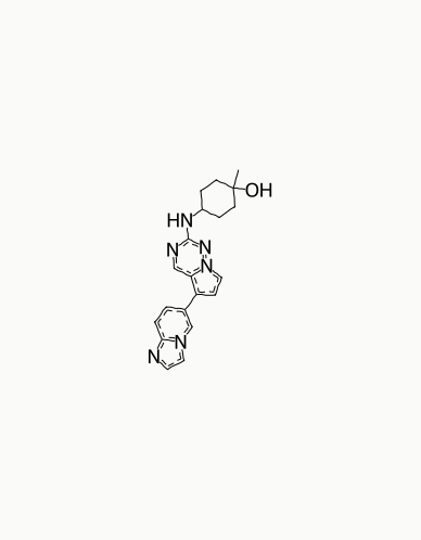 CC1(O)CCC(Nc2ncc3c(-c4ccc5nccn5c4)ccn3n2)CC1